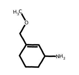 COCC1=CC(N)CCC1